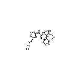 O=C(Nc1cccc(OCCCO)n1)c1c[nH]c2c1-c1ncccc1CCC2